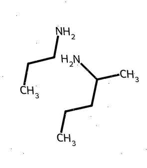 CCCC(C)N.CCCN